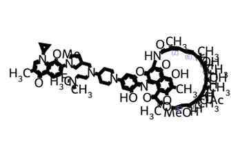 COc1c(N2CCC(CN(CCN(C)C)C3CCN(c4cc(O)c5nc6c7c8c9c(C)c(O)c7c(=O)c(c-6oc5c4)NC(=O)/C(C)=C\C=C\[C@H](C)[C@H](O)[C@@H](C)[C@@H](O)[C@@H](C)[C@H](OC(C)=O)[C@H](C)[C@@H](OC)/C=C/O[C@@](C)(O9)C8=O)CC3)C2)c(F)cc2c(=O)c(C)cn(C3CC3)c12